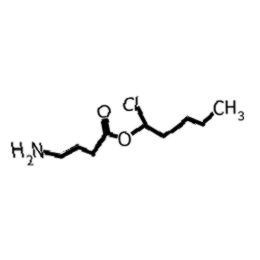 CCCCC(Cl)OC(=O)CCCN